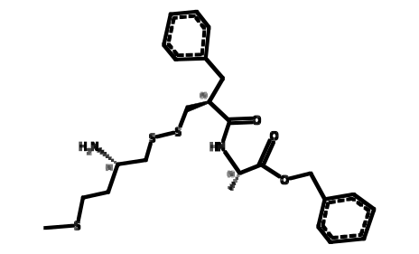 CSCC[C@H](N)CSSC[C@@H](Cc1ccccc1)C(=O)N[C@@H](C)C(=O)OCc1ccccc1